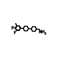 Cc1cc(C2CCC(C3CCC(CN)CC3)CC2)cc(F)c1F